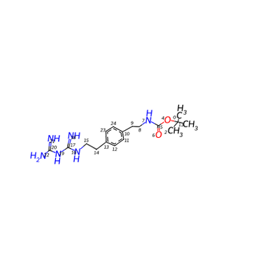 CC(C)(C)OC(=O)NCCc1ccc(CCNC(=N)NC(=N)N)cc1